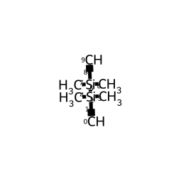 C#C[Si](C)(C)[Si](C)(C)C#C